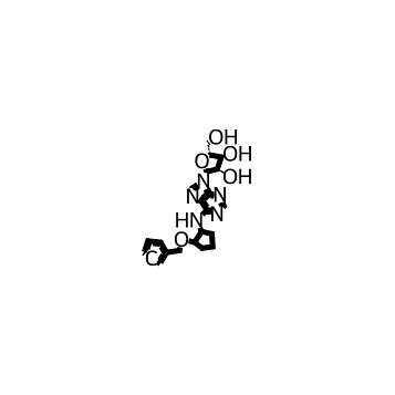 OC[C@H]1OC(n2cnc3c(NC4CCCC4OCc4ccccc4)ncnc32)[C@@H](O)[C@H]1O